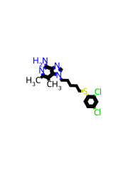 Cc1nc(N)c2ncn(CCCCCSc3ccc(Cl)cc3Cl)c2c1C